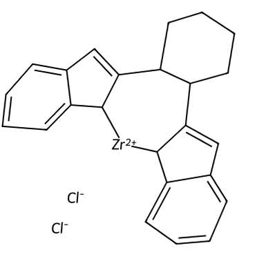 C1=C2[CH]([Zr+2][CH]3C(=Cc4ccccc43)C3CCCCC23)c2ccccc21.[Cl-].[Cl-]